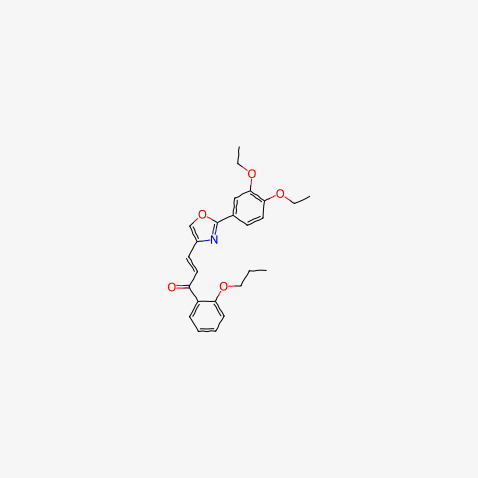 CCCOc1ccccc1C(=O)/C=C/c1coc(-c2ccc(OCC)c(OCC)c2)n1